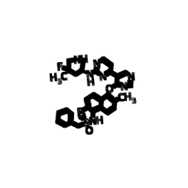 Cc1ccc2c(NS(=O)(=O)Cc3ccccc3)c(F)ccc2c1Oc1ncncc1-c1ccnc(N[C@@H]2CNC[C@@](C)(F)C2)n1